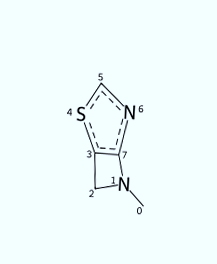 CN1Cc2scnc21